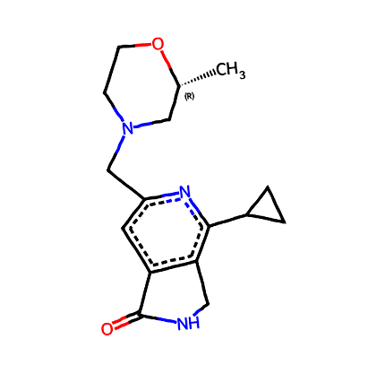 C[C@@H]1CN(Cc2cc3c(c(C4CC4)n2)CNC3=O)CCO1